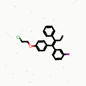 CCC(=C(c1ccc(OCCCl)cc1)c1cccc(I)c1)c1ccccc1